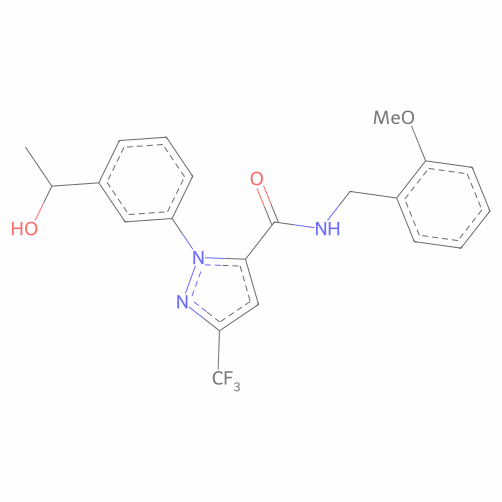 COc1ccccc1CNC(=O)c1cc(C(F)(F)F)nn1-c1cccc(C(C)O)c1